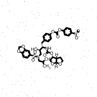 CC(C)CN(C[C@@H](O)[C@H](Cc1ccc(OC(=O)Oc2ccc([N+](=O)[O-])cc2)cc1)NC(=O)O[C@H]1CO[C@H]2OCC[C@H]21)S(=O)(=O)c1ccc2c(c1)OCO2